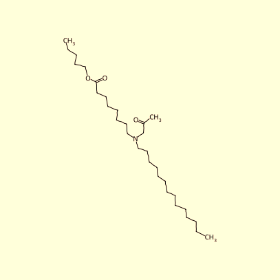 CCCCCCCCCCCCCCN(CCCCCCCC(=O)OCCCCC)CC(C)=O